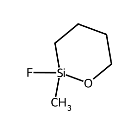 C[Si]1(F)CCCCO1